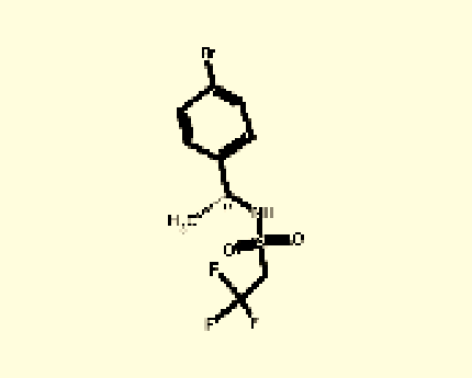 C[C@@H](NS(=O)(=O)CC(F)(F)F)c1ccc(Br)cc1